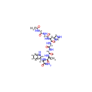 CC(=O)NCC(=O)NCC(=O)N[C@@H](Cc1c[nH]cn1)C(=O)NCC(=O)NCC(=O)N[C@@H](C)C(=O)N[C@@H](Cc1c[nH]c2ccccc12)C(N)=O